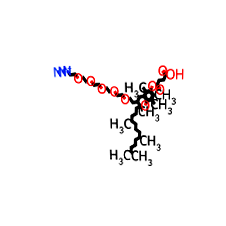 Cc1c(C)c2c(c(C)c1OC(=O)CCC(=O)O)CC(CCOCCOCCOCCOCCOCCN=[N+]=[N-])[C@@](C)(CCC[C@H](C)CCC[C@H](C)CCCC(C)C)O2